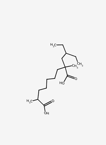 CCC(CC)CC(C)(CCCCCC(C)C(=O)O)C(=O)O